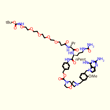 CCCCCNc1nc(N)nc2ccn(Cc3ccc(CN4CC5(C4)CN(C(=O)OCc4ccc(NC(=O)[C@H](CCCNC(N)=O)NC(=O)[C@@H](NC(=O)CCOCCOCCOCCOCCONC(=O)OC(C)(C)C)C(C)C)cc4)CCO5)cc3OC)c12